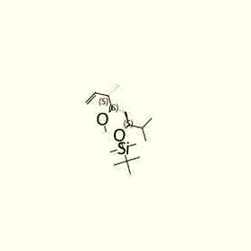 C=C[C@H](C)[C@H](C[C@H](O[Si](C)(C)C(C)(C)C)C(C)C)OC